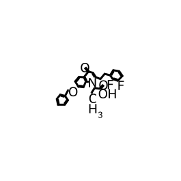 CCC(C(=O)O)n1c(CCc2cccc(F)c2F)cc(=O)c2ccc(OCc3ccccc3)cc21